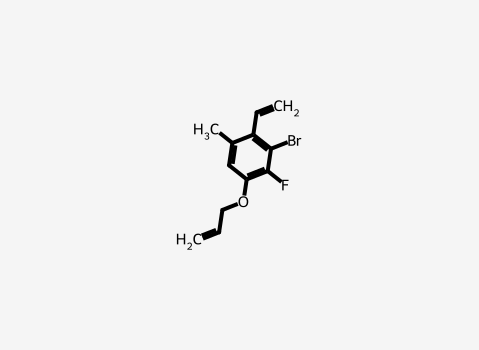 C=CCOc1cc(C)c(C=C)c(Br)c1F